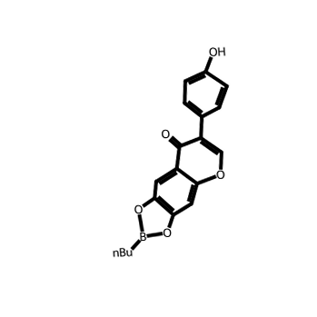 CCCCB1Oc2cc3occ(-c4ccc(O)cc4)c(=O)c3cc2O1